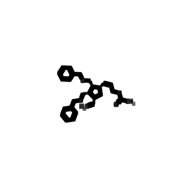 C=C[C@H]1C[C@@H](/C=C\COC(C)=O)[C@@H](COCc2ccccc2)[C@H]1COCc1ccccc1